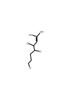 OC(O)=CC(Cl)C(Cl)CCCCl